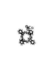 O=[C]([Co])Oc1cccc2c3nc4nc(nc5[nH]c(nc6nc(nc([nH]3)c12)-c1ccccc1-6)c1ccccc51)-c1ccccc1-4